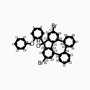 OC1(c2ccccc2Oc2ccccc2)c2cc(Br)cc3c2-c2c(cc(Br)cc21)-c1ccccc1-c1ccccc1-3